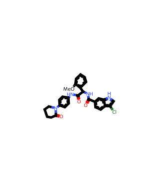 COc1ccccc1C(NC(=O)c1ccc2c(Cl)c[nH]c2c1)C(=O)Nc1ccc(N2CCCCC2=O)cc1